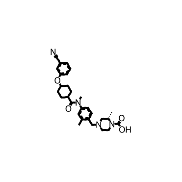 Cc1cc(N(C)C(=O)C2CCC(Oc3cccc(C#N)c3)CC2)ccc1CN1CCN(C(=O)O)[C@@H](C)C1